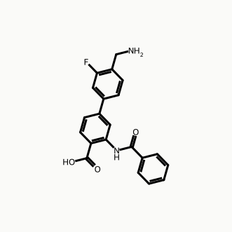 NCc1ccc(-c2ccc(C(=O)O)c(NC(=O)c3ccccc3)c2)cc1F